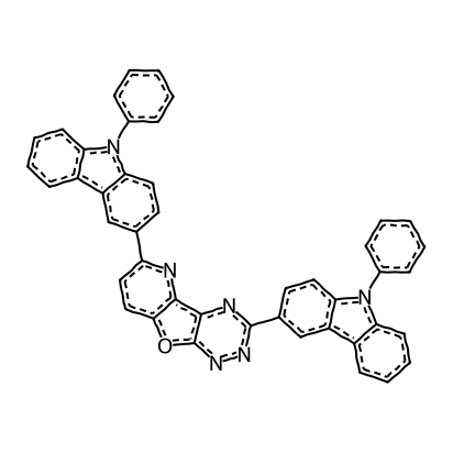 c1ccc(-n2c3ccccc3c3cc(-c4ccc5oc6nnc(-c7ccc8c(c7)c7ccccc7n8-c7ccccc7)nc6c5n4)ccc32)cc1